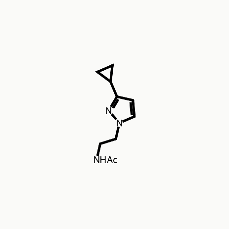 CC(=O)NCCn1ccc(C2CC2)n1